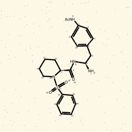 CC(=O)Nc1ccc(C[C@@H](N)NC(=O)[C@@H]2CCCCN2S(=O)(=O)c2ccccc2)cc1